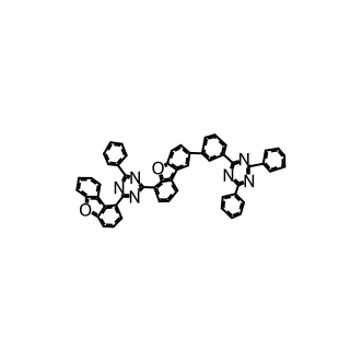 c1ccc(-c2nc(-c3ccccc3)nc(-c3cccc(-c4ccc5oc6c(-c7nc(-c8ccccc8)nc(-c8cccc9oc%10ccccc%10c89)n7)cccc6c5c4)c3)n2)cc1